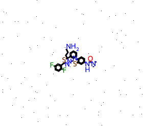 CN(C)C(=O)Nc1ccc2nc(N3N=C(c4cc(F)ccc4F)SC3(CCCN)c3ccccc3)sc2c1